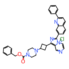 O=C(OCc1ccccc1)N1CCN(C2CC(C3=C4C=NC=C[N+]4(Cl)C(c4ccc5ccc(-c6ccccc6)nc5c4)=N3)C2)CC1